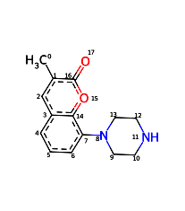 Cc1cc2cccc(N3CCNCC3)c2oc1=O